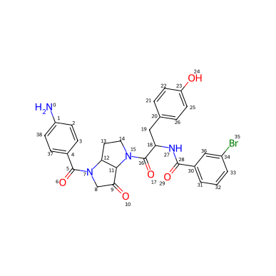 Nc1ccc(C(=O)N2CC(=O)C3C2CCN3C(=O)C(Cc2ccc(O)cc2)NC(=O)c2cccc(Br)c2)cc1